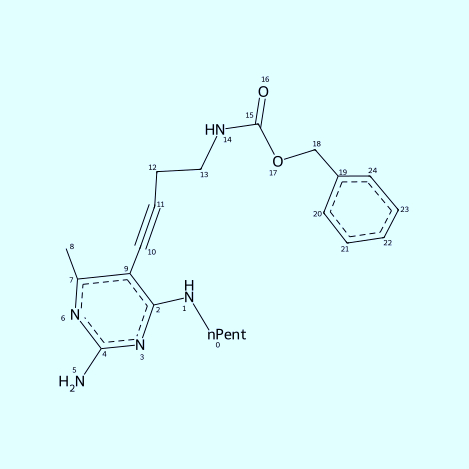 CCCCCNc1nc(N)nc(C)c1C#CCCNC(=O)OCc1ccccc1